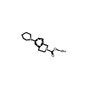 CC(C)(C)OC(=O)N1CCc2cc(N3CCCCC3)ccc2C1